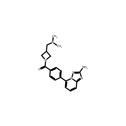 CN(C)CC1CN(C(=O)c2ccc(-c3cccc4nc(N)nn34)cc2)C1